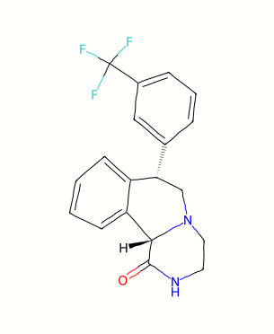 O=C1NCCN2C[C@@H](c3cccc(C(F)(F)F)c3)c3ccccc3[C@@H]12